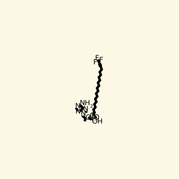 CC(Cn1cnc2c(N)ncnc21)OCP(=O)(O)OCCCCCCCCCCCCCCCCCC#CC(F)(F)F